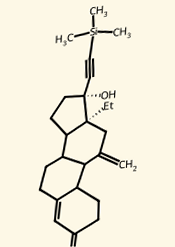 C=C1C[C@@]2(CC)C(CC[C@@]2(O)C#C[Si](C)(C)C)C2CCC3=CC(=O)CCC3C12